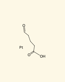 O=CCCCC(=O)O.[Pt]